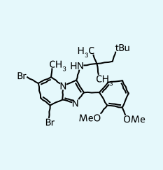 COc1cccc(-c2nc3c(Br)cc(Br)c(C)n3c2NC(C)(C)CC(C)(C)C)c1OC